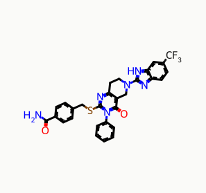 NC(=O)c1ccc(CSc2nc3c(c(=O)n2-c2ccccc2)CN(c2nc4ccc(C(F)(F)F)cc4[nH]2)CC3)cc1